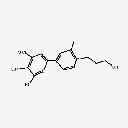 CNc1cc(-c2ccc(CCCO)c(C)c2)nc(C#N)c1N